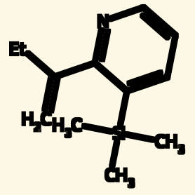 C=C(CC)c1ncccc1[Si](C)(C)C